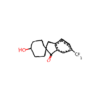 O=C1c2cc(C(F)(F)F)ccc2CC12CCC(O)CC2